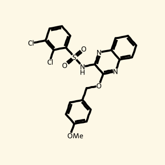 COc1ccc(COc2nc3ccccc3nc2NS(=O)(=O)c2cccc(Cl)c2Cl)cc1